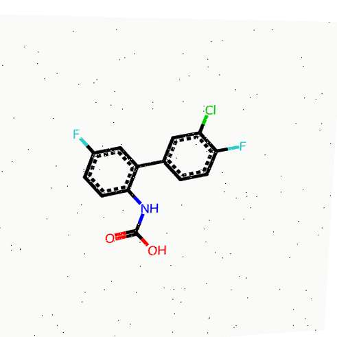 O=C(O)Nc1ccc(F)cc1-c1ccc(F)c(Cl)c1